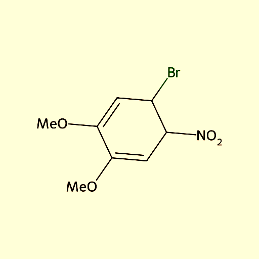 COC1=CC(Br)C([N+](=O)[O-])C=C1OC